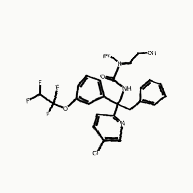 CC(C)N(CCO)C(=O)NC(Cc1ccccc1)(c1cccc(OC(F)(F)C(F)F)c1)c1ccc(Cl)cn1